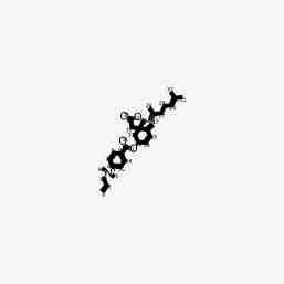 C=CC[N+](C)(C)c1ccc(C(=O)O[C@@H]2C=CC(=C)C3(CC(=O)O[C@@H]3/C=C(\C)CCC=C(C)C)C2)cc1